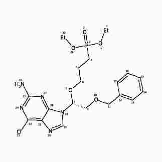 CCOP(=O)(CCCO[C@H](COCc1ccccc1)n1cnc2c(Cl)nc(N)nc21)OCC